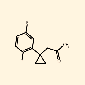 O=C(CC1(c2cc(F)ccc2F)CC1)C(F)(F)F